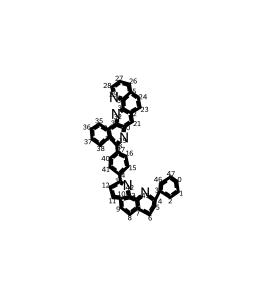 c1ccc(-c2ccc3ccc4ccc(-c5ccc(-c6nc7cc8ccc9cccnc9c8nc7c7ccccc67)cc5)nc4c3n2)cc1